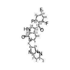 Cc1ccc2nc(Cn3ccc4c(C(=O)c5c(F)cc(F)cc5F)c[nH]c4c3=O)cn2n1